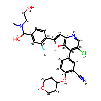 CN(CCO)C(O)c1ccc(-c2cc3ncc(Cl)c(-c4ccc(OC5CCOCC5)c(C#N)c4)c3o2)c(F)c1